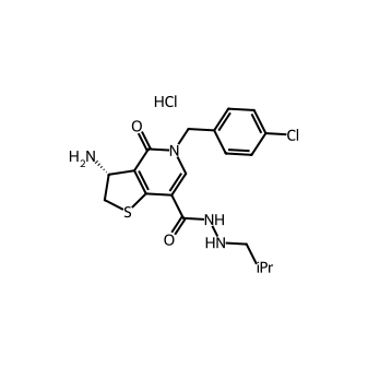 CC(C)CNNC(=O)c1cn(Cc2ccc(Cl)cc2)c(=O)c2c1SC[C@@H]2N.Cl